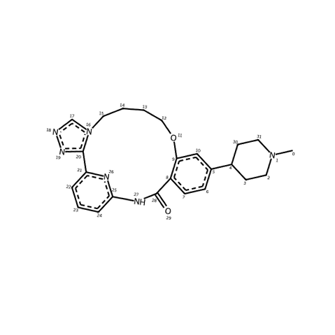 CN1CCC(c2ccc3c(c2)OCCCCn2cnnc2-c2cccc(n2)NC3=O)CC1